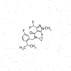 CC(C)c1ccc(F)cc1CN(C(=O)c1c(C(F)F)nn(C)c1F)C1CC1